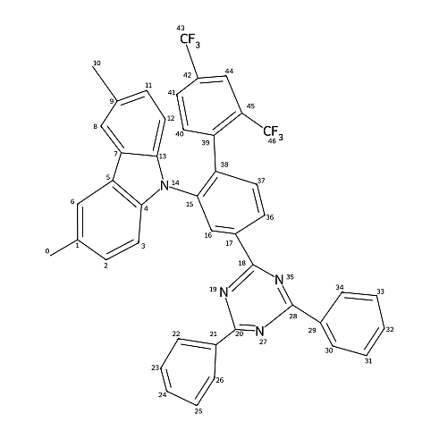 Cc1ccc2c(c1)c1cc(C)ccc1n2-c1cc(-c2nc(-c3ccccc3)nc(-c3ccccc3)n2)ccc1-c1ccc(C(F)(F)F)cc1C(F)(F)F